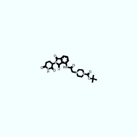 CC(C)(C)OC(=O)N1CCN(CC(=O)Nc2cccc3c2C(=O)N(C2CCC(=O)NC2=O)C3=O)CC1